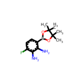 CC1(C)OB(c2ccc(F)c(N)c2N)OC1(C)C